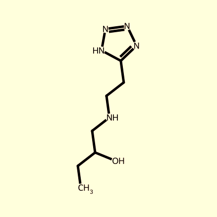 CCC(O)CNCCc1nnn[nH]1